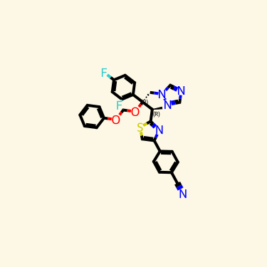 C[C@@H](c1nc(-c2ccc(C#N)cc2)cs1)[C@@](Cn1cncn1)(OCOc1ccccc1)c1ccc(F)cc1F